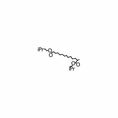 CC(C)CCOC(=O)CCCCCCCCCCCC(C)C(=O)OCCC(C)C